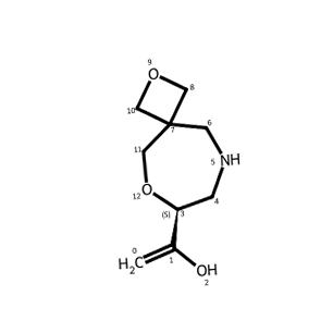 C=C(O)[C@@H]1CNCC2(COC2)CO1